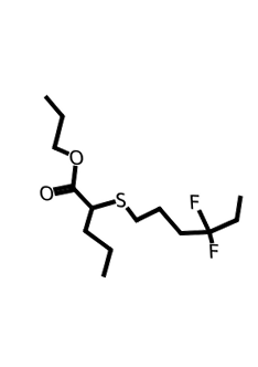 CCCOC(=O)C(CCC)SCCCC(F)(F)CC